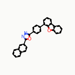 c1ccc2cc(-c3nnc(-c4ccc(-c5cccc6c5oc5ccccc56)cc4)o3)ccc2c1